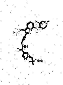 COC(C)(C)Cn1cc(C(=O)NCC#Cc2nn3c(N[C@@H]4CCN(C)C[C@@H]4F)cccc3c2CC(F)(F)F)cn1